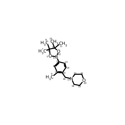 Cc1cc(B2OC(C)(C)C(C)(C)O2)ccc1CN1CCOCC1